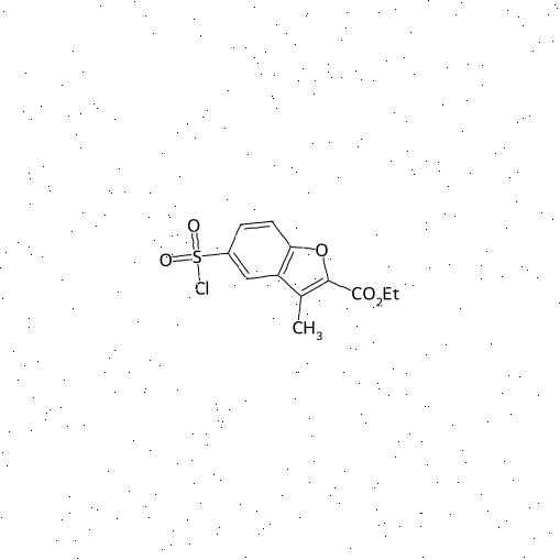 CCOC(=O)c1oc2ccc(S(=O)(=O)Cl)cc2c1C